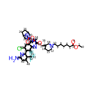 CCOC(=O)CCCCCCN1CCC[C@@](C)(COc2nc(N3CC4CCC(C3)N4C(=O)OC(C)(C)C)c3cc(Cl)c(-c4nc(N)cc(C)c4C(F)(F)F)c(F)c3n2)C1